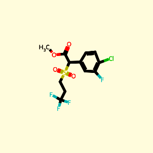 COC(=O)C(c1ccc(Cl)c(F)c1)S(=O)(=O)CCC(F)(F)F